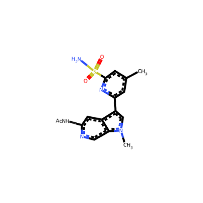 CC(=O)Nc1cc2c(-c3cc(C)cc(S(N)(=O)=O)n3)cn(C)c2cn1